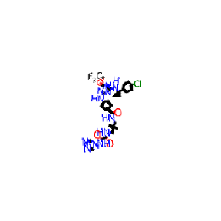 CC(C)(CNC(=O)C(=O)Nn1cnnc1)CNC(=O)c1ccc(Nc2nc(NC3(c4ccc(Cl)cc4)CC3)nc(OCC(F)(F)F)n2)cc1